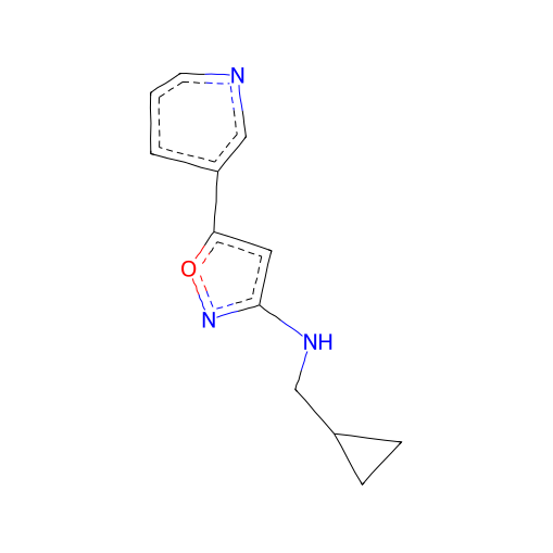 c1cncc(-c2cc(NCC3CC3)no2)c1